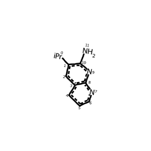 CC(C)c1cc2cccnc2nc1N